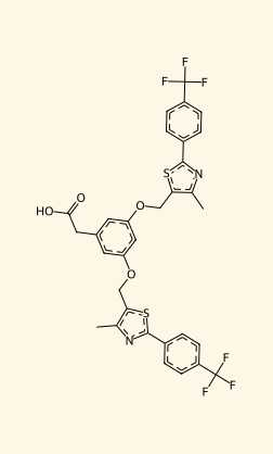 Cc1nc(-c2ccc(C(F)(F)F)cc2)sc1COc1cc(CC(=O)O)cc(OCc2sc(-c3ccc(C(F)(F)F)cc3)nc2C)c1